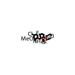 COc1c(Cl)ccc(/C=C/C(=O)N2CC3COCC(C2)N3Cc2ccc(F)cc2)c1NC(C)=O